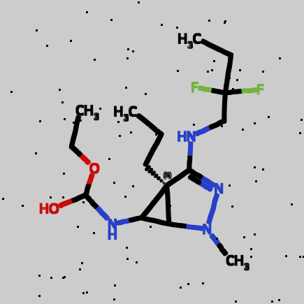 CCC[C@]12C(NCC(F)(F)CC)=NN(C)C1C2NC(O)OCC